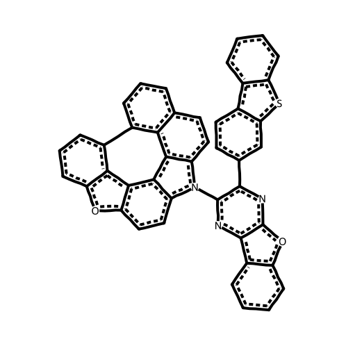 c1cc2c3c(c1)ccc1c3c3c4c(ccc3n1-c1nc3c(nc1-c1ccc5c(c1)sc1ccccc15)oc1ccccc13)oc1cccc-2c14